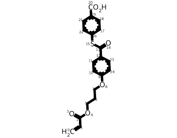 C=CC(=O)OCCCOc1ccc(C(=O)Sc2ccc(C(=O)O)cc2)cc1